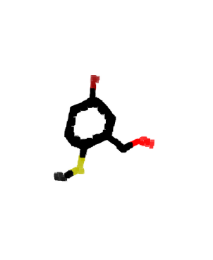 CC(C)(C)Sc1ccc(Br)cc1CO